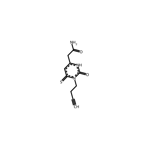 C#CCCn1c(=S)cc(CC(N)=O)[nH]c1=O